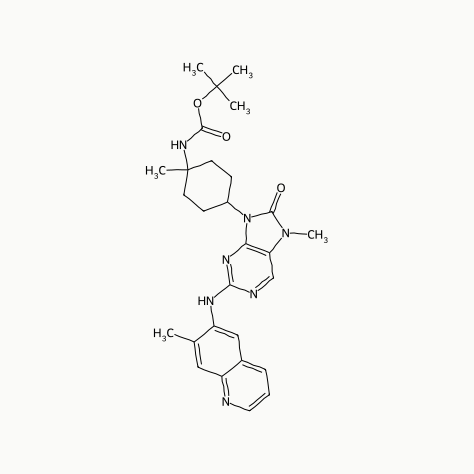 Cc1cc2ncccc2cc1Nc1ncc2c(n1)n(C1CCC(C)(NC(=O)OC(C)(C)C)CC1)c(=O)n2C